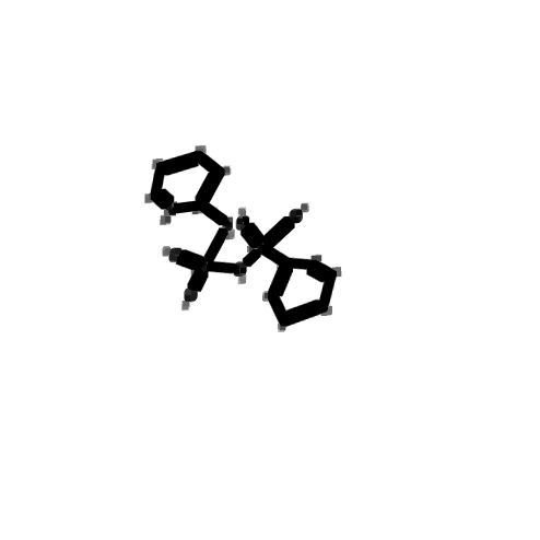 O=S(=O)(OS(=O)(=O)c1ccccc1)Sc1ccccn1